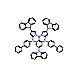 c1ccc(-c2ccc(N3c4cc(-n5c6ccccc6c6ccccc65)cc5c4B(n4cc(-n6c7ccccc7c7ccccc76)cc43)n3cc(-n4c6ccccc6c6ccccc64)cc3N5c3ccc(-c4ccccc4)cc3)cc2)cc1